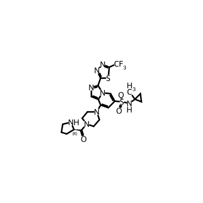 CC1(NS(=O)(=O)c2cc(N3CCN(C(=O)[C@H]4CCCN4)CC3)c3cnc(-c4nnc(C(F)(F)F)s4)n3c2)CC1